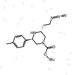 Cc1ccc([C@@H]2CN(C(=O)OC(C)(C)C)C[C@@H](CCN=[N+]=[N-])N2)cc1